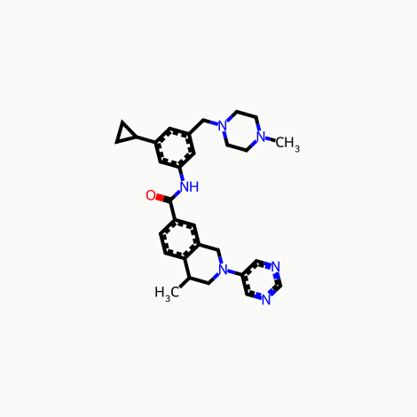 CC1CN(c2cncnc2)Cc2cc(C(=O)Nc3cc(CN4CCN(C)CC4)cc(C4CC4)c3)ccc21